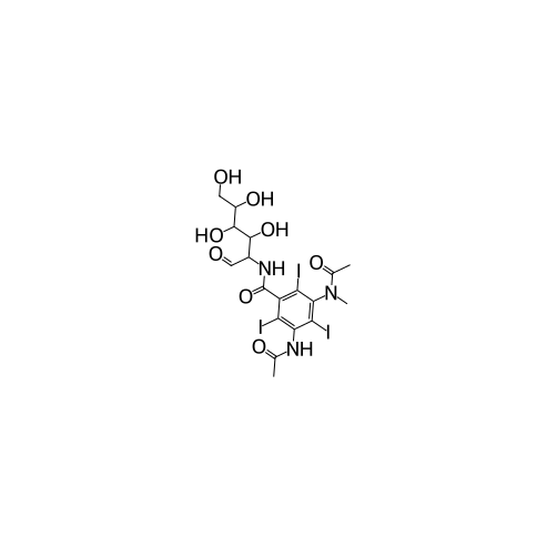 CC(=O)Nc1c(I)c(C(=O)NC(C=O)C(O)C(O)C(O)CO)c(I)c(N(C)C(C)=O)c1I